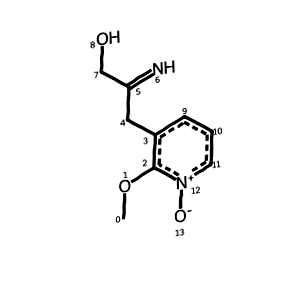 COc1c(CC(=N)CO)ccc[n+]1[O-]